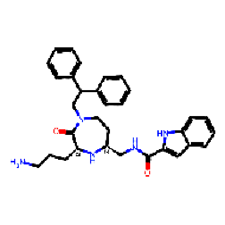 NCCC[C@@H]1N[C@H](CNC(=O)c2cc3ccccc3[nH]2)CCN(CC(c2ccccc2)c2ccccc2)C1=O